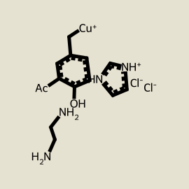 CC(=O)c1cc([CH2][Cu+])ccc1O.NCCN.[Cl-].[Cl-].c1c[nH+]c[nH]1